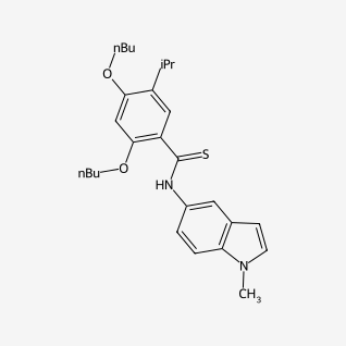 CCCCOc1cc(OCCCC)c(C(C)C)cc1C(=S)Nc1ccc2c(ccn2C)c1